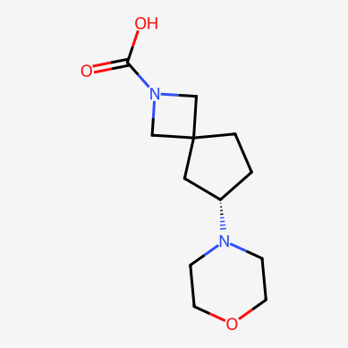 O=C(O)N1CC2(CC[C@H](N3CCOCC3)C2)C1